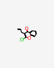 C=CCc1c(Cl)oc2ccccc2c1=O